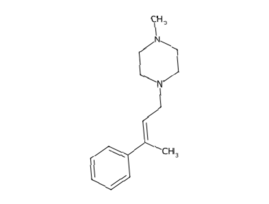 C/C(=C\CN1CCN(C)CC1)c1ccccc1